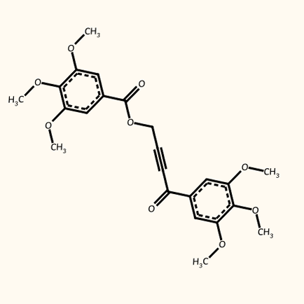 COc1cc(C(=O)C#CCOC(=O)c2cc(OC)c(OC)c(OC)c2)cc(OC)c1OC